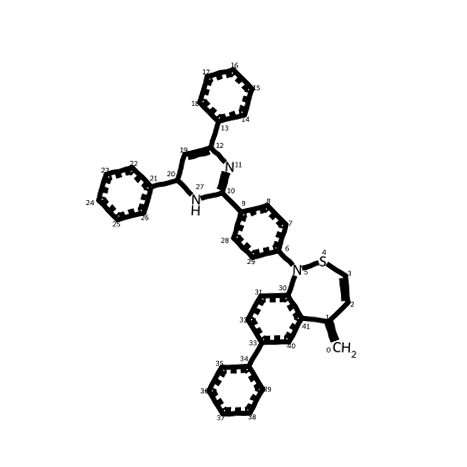 C=C1C=CSN(c2ccc(C3=NC(c4ccccc4)=CC(c4ccccc4)N3)cc2)c2ccc(-c3ccccc3)cc21